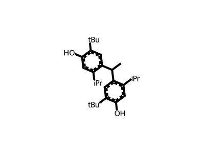 CC(C)c1cc(O)c(C(C)(C)C)cc1C(C)c1cc(C(C)(C)C)c(O)cc1C(C)C